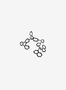 c1cc(-c2ccccc2-c2ccc3c(c2)c2ccccc2n3-c2ccc3c4ccccc4c4ccccc4c3c2)cc(N(c2cccc3ccccc23)c2cccc3ccccc23)c1